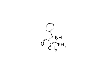 Cc1c(P)[nH]c(-c2ccccc2)c1C=O